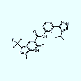 CC(C)n1cnnc1-c1cccc(NC(=O)c2cc3c(C(F)(F)F)nn(C)c3[nH]c2=O)n1